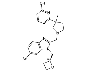 CC(=O)c1ccc2nc(CN3CCC(C)(c4cccc(O)n4)C3)n(C[C@@H]3CCO3)c2c1